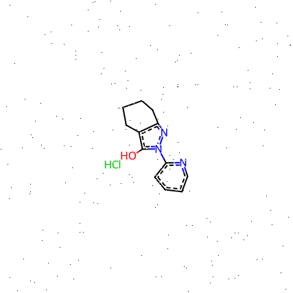 Cl.Oc1c2c(nn1-c1ccccn1)CCCC2